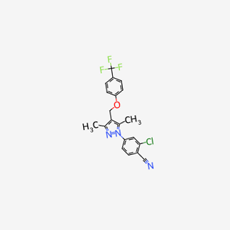 Cc1nn(-c2ccc(C#N)c(Cl)c2)c(C)c1COc1ccc(C(F)(F)F)cc1